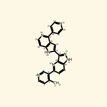 Cc1ccncc1-c1ccc2[nH]nc(-c3cc4c(-c5ccncc5)nccc4[nH]3)c2n1